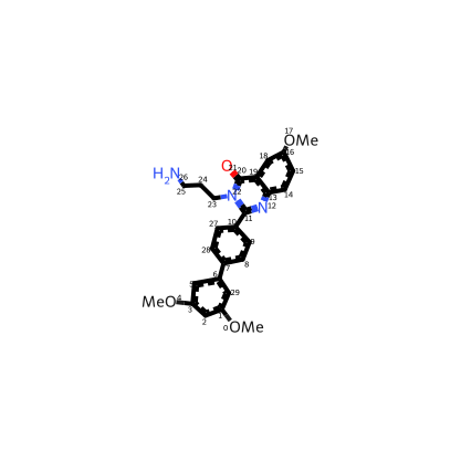 COc1cc(OC)cc(-c2ccc(-c3nc4ccc(OC)cc4c(=O)n3CCCN)cc2)c1